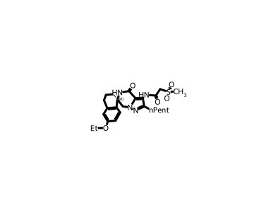 CCCCCc1nn2c(c1NC(=O)CS(C)(=O)=O)C(=O)N[C@@]1(CCCc3cc(OCC)ccc31)C2